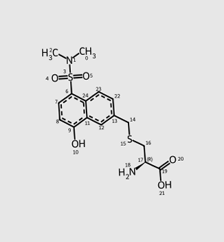 CN(C)S(=O)(=O)c1ccc(O)c2cc(CSC[C@H](N)C(=O)O)ccc12